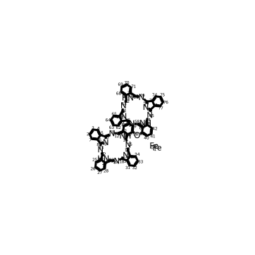 [Fe].[Fe].c1ccc2c(c1)-c1nc-2nc2[nH]c(nc3nc(nc4[nH]c(n1)c1ccccc41)-c1ccccc1-3)c1c(Oc3cccc4c5nc6nc(nc7[nH]c(nc8nc(nc([nH]5)c34)-c3ccccc3-8)c3ccccc73)-c3ccccc3-6)cccc21